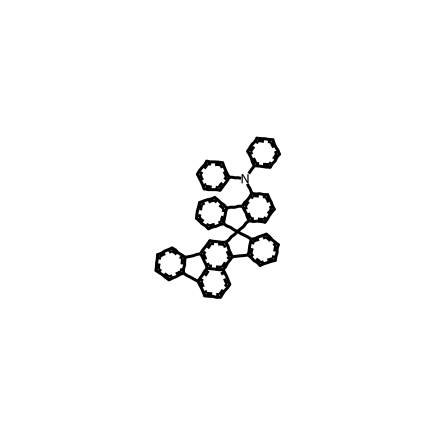 c1ccc(N(c2ccccc2)c2cccc3c2-c2ccccc2C32c3ccccc3-c3c2cc2c4c(cccc34)-c3ccccc3-2)cc1